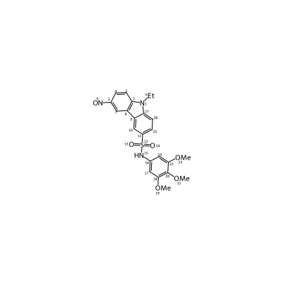 CCn1c2ccc(N=O)cc2c2cc(S(=O)(=O)Nc3cc(OC)c(OC)c(OC)c3)ccc21